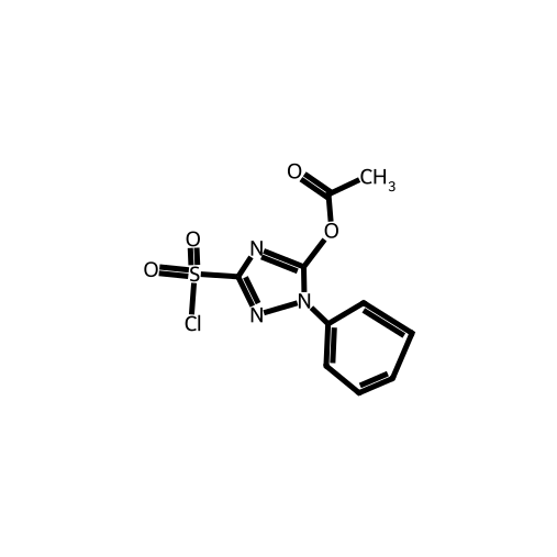 CC(=O)Oc1nc(S(=O)(=O)Cl)nn1-c1ccccc1